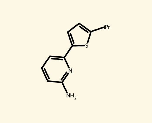 CC(C)c1ccc(-c2cccc(N)n2)s1